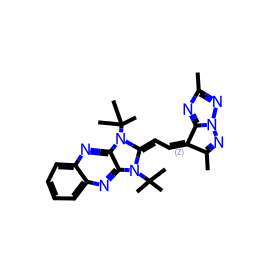 Cc1nc2/c(=C\C=C3N(C(C)(C)C)c4nc5ccccc5nc4N3C(C)(C)C)c(C)nn2n1